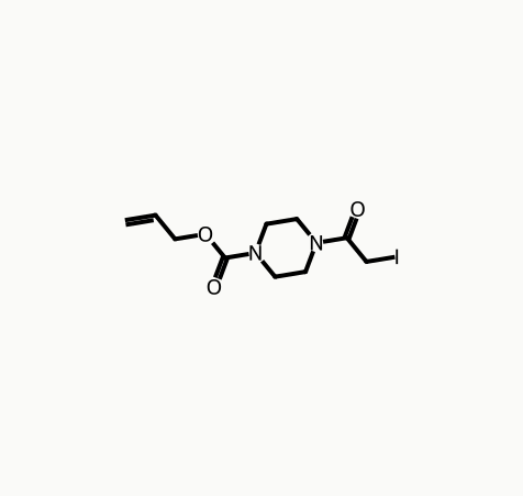 C=CCOC(=O)N1CCN(C(=O)CI)CC1